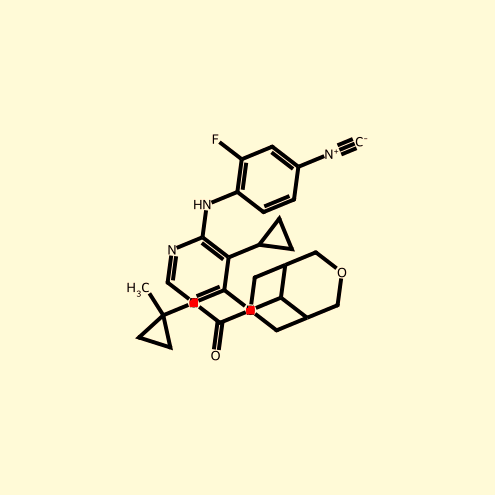 [C-]#[N+]c1ccc(Nc2ncnc(OC3C4COCC3CN(C(=O)OC3(C)CC3)C4)c2C2CC2)c(F)c1